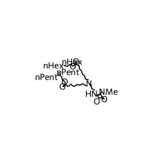 CCCCCCC(CCCCCC)CCOC(=O)CCCCCCCN(CCCCCCCC(=O)OCCC(CCCCC)CCCCC)CCCNc1c(NC)c(=O)c1=O